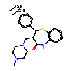 CN1CCN(C[C@@H]2C(=O)Nc3ccccc3S[C@@H]2c2ccccc2)CC1.CS(=O)(=O)O.CS(=O)(=O)O